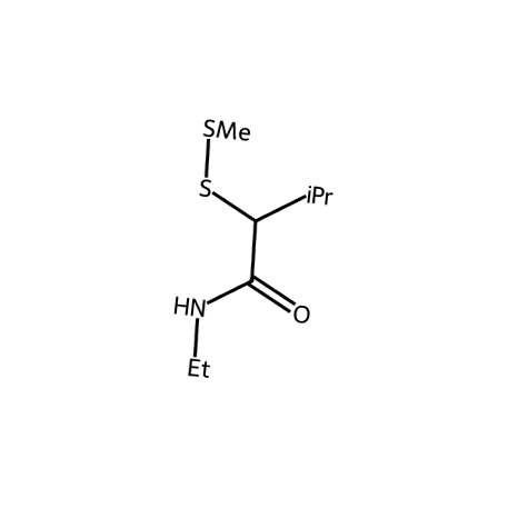 CCNC(=O)C(SSC)C(C)C